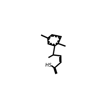 C=C(S)/C=C\C(C)c1cc(C)ccc1C